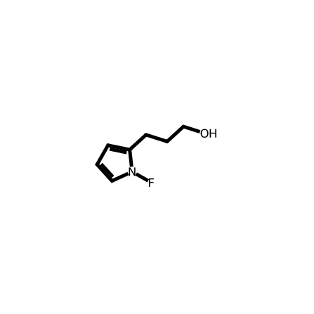 OCCCc1cccn1F